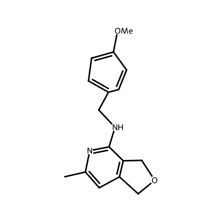 COc1ccc(CNc2nc(C)cc3c2COC3)cc1